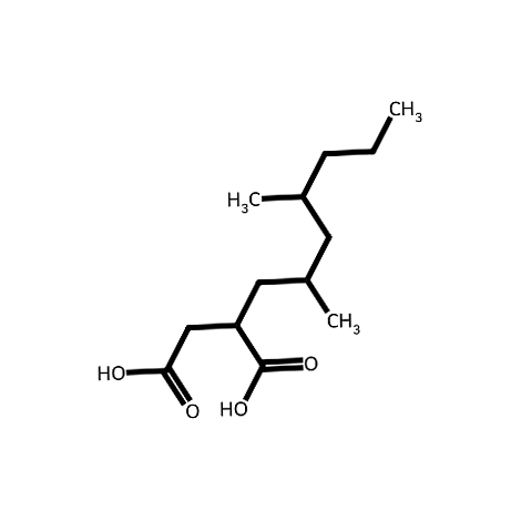 CCCC(C)CC(C)CC(CC(=O)O)C(=O)O